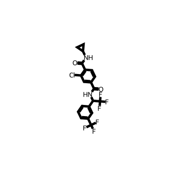 O=C(NC(c1cccc(C(F)(F)F)c1)C(F)(F)F)c1ccc(C(=O)NC2CC2)c(Cl)c1